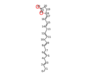 CCC=CCC=CCC=CCC=CCC=CC=CC1CCC(=O)O1